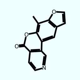 Cc1c2occc2cc2c1oc(=O)c1ccncc12